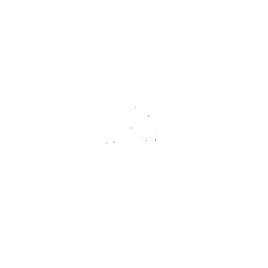 C=NC(=C/C)/C(=C1/C=CC=CC1)N(N)CCC